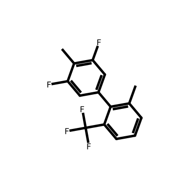 Cc1cccc(C(F)(F)F)c1-c1cc(F)c(C)c(F)c1